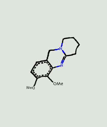 COc1ccc2c(c1OC)N=C1CCCCN1C2